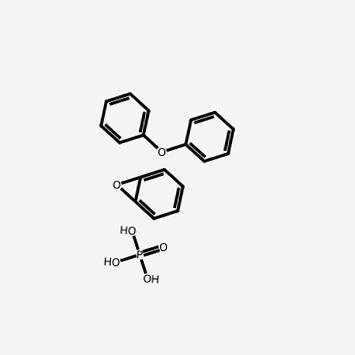 O=P(O)(O)O.c1ccc(Oc2ccccc2)cc1.c1ccc2c(c1)O2